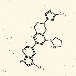 Cc1c[nH]c2ncc(-c3cc4c(c([C@@H]5CCCN5)c3)CN(c3cnn(C)c3)CC4)cc12